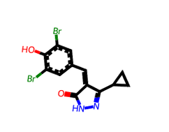 O=C1NN=C(C2CC2)C1=Cc1cc(Br)c(O)c(Br)c1